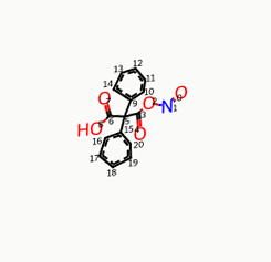 O=NOC(=O)C(C(=O)O)(c1ccccc1)c1ccccc1